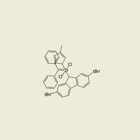 CC1=C[CH]([Zr]([Cl])([Cl])(=[C](c2ccccc2)c2ccccc2)[CH]2c3cc(C(C)(C)C)ccc3-c3ccc(C(C)(C)C)cc32)C=C1